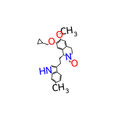 COc1cc2c(cc1OCC1CC1)[C@H](CCc1c[nH]c3cc(C)ccc13)N(C=O)CC2